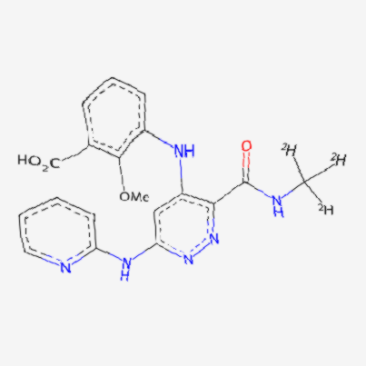 [2H]C([2H])([2H])NC(=O)c1nnc(Nc2ccccn2)cc1Nc1cccc(C(=O)O)c1OC